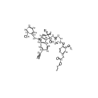 CCOC(=O)Cc1ccc(OC2CCN(CC(O)(c3cn(Cc4ccccc4Cl)c4cc(C#N)ccc34)C(F)(F)F)CC2)c(OC)c1